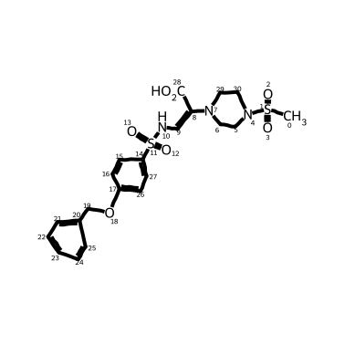 CS(=O)(=O)N1CCN(C(=CNS(=O)(=O)c2ccc(OCc3ccccc3)cc2)C(=O)O)CC1